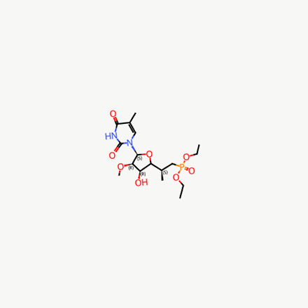 CCOP(=O)(C[C@@H](C)C1O[C@H](n2cc(C)c(=O)[nH]c2=O)[C@H](OC)[C@@H]1O)OCC